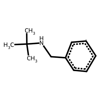 CC(C)(C)NCc1c[c]ccc1